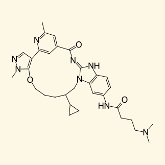 Cc1cc2cc(n1)-c1cnn(C)c1OCCCC(C1CC1)CN1/C(=N/C2=O)Nc2ccc(NC(=O)CCCN(C)C)cc21